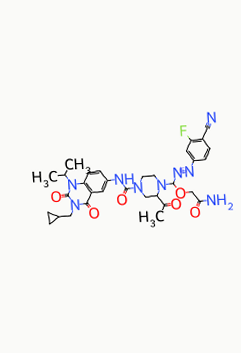 CC(=O)C1CN(C(=O)Nc2ccc3c(c2)c(=O)n(CC2CC2)c(=O)n3C(C)C)CCN1C(/N=N/c1ccc(C#N)c(F)c1)OCC(N)=O